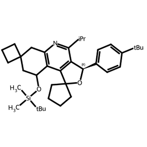 CC(C)c1nc2c(c3c1[C@@H](c1ccc(C(C)(C)C)cc1)OC31CCCC1)C(O[Si](C)(C)C(C)(C)C)CC1(CCC1)C2